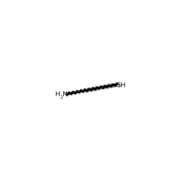 NCCCCCCCCCCCCCCCCCCCCCCCCCCS